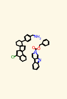 NCc1ccc(C2CCCc3c2ccc2c4c(c(Cl)cc32)=CCCC=4)cc1.O=C(OCc1ccccc1)n1ccc2c3ccccc3nc-2c1